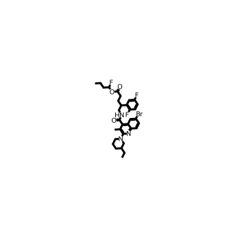 CCCC(F)OC(=O)CCC(CNC(=O)c1c(C)c(N2CCCC(CC)C2)nc2ccc(Br)cc12)c1cc(F)ccc1F